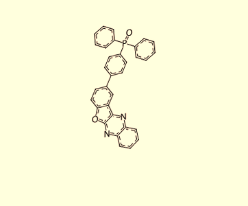 O=P(c1ccccc1)(c1ccccc1)c1ccc(-c2ccc3oc4nc5ccccc5nc4c3c2)cc1